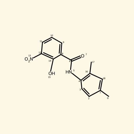 Cc1ccc(NC(=O)c2cccc([N+](=O)[O-])c2O)c(C)c1